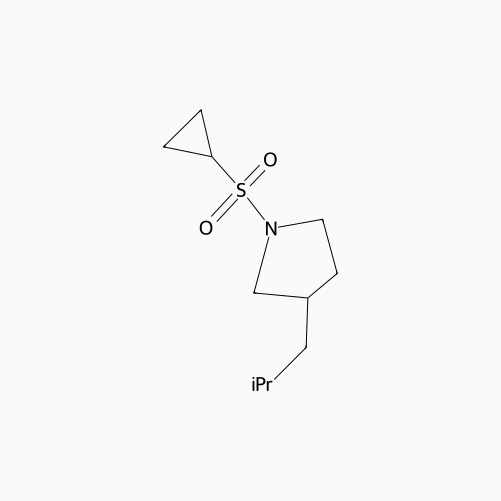 CC(C)CC1CCN(S(=O)(=O)C2CC2)C1